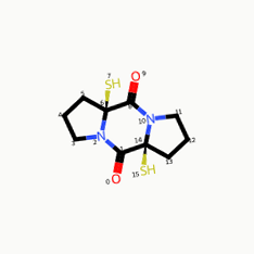 O=C1N2CCC[C@]2(S)C(=O)N2CCC[C@]12S